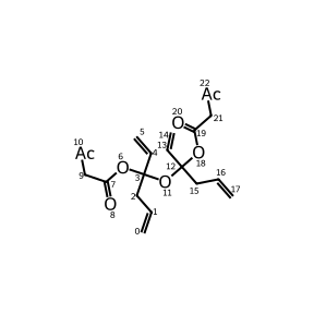 C=CCC(C=C)(OC(=O)CC(C)=O)OC(C=C)(CC=C)OC(=O)CC(C)=O